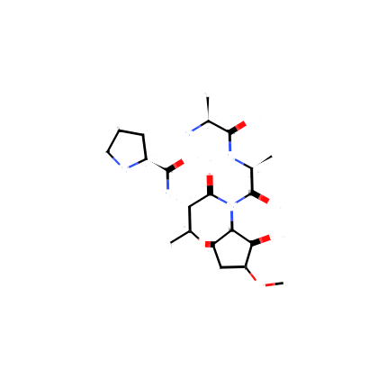 COC1CC(=O)[C](N(C(=O)[C@H](C)NC(=O)[C@H](C)N)C(=O)[C@@H](NC(=O)[C@@H]2CCCN2)C(C)C)C1=O